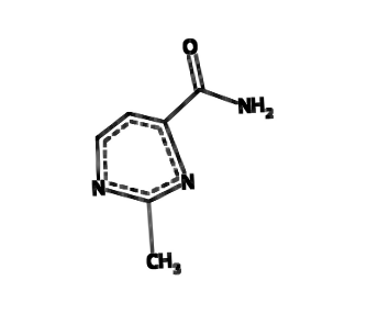 Cc1nccc(C(N)=O)n1